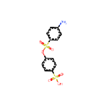 Nc1ccc(S(=O)(=O)Oc2ccc(S(=O)(=O)O)cc2)cc1